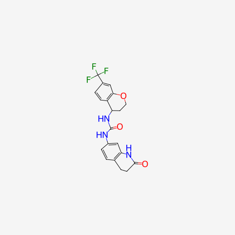 O=C1CCc2ccc(NC(=O)NC3CCOc4cc(C(F)(F)F)ccc43)cc2N1